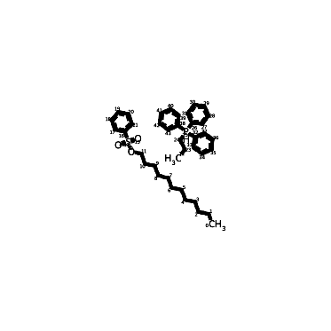 CCCCCCCCCCCCOS(=O)(=O)c1ccccc1.CCC[PH](c1ccccc1)(c1ccccc1)c1ccccc1